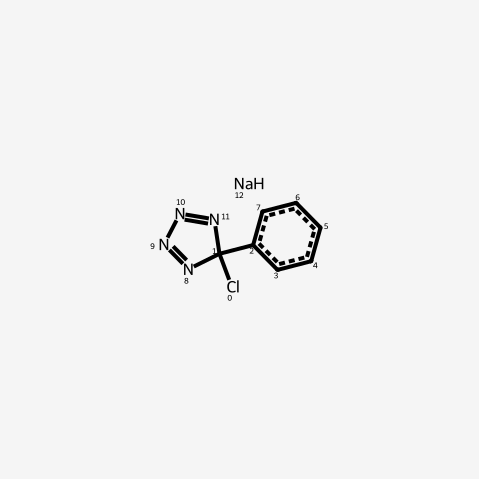 ClC1(c2ccccc2)N=NN=N1.[NaH]